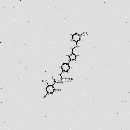 CCc1cc(F)cc(C)c1C(=O)NC(Cc1ccc(-c2nc(CNc3cc(C)ccn3)cs2)cc1)C(=O)O